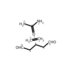 C=C.NC(N)=O.O=CCCCC=O